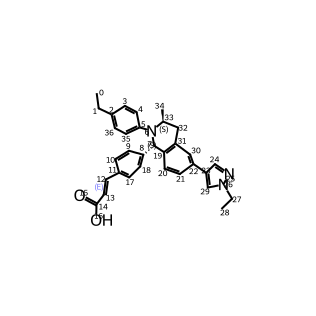 CCc1ccc(N2[C@@H](c3ccc(/C=C/C(=O)O)cc3)c3ccc(-c4cnn(CC)c4)cc3C[C@@H]2C)cc1